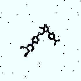 C#CCN(/C=C(\C=C)c1ccc(OCc2c(C)nnn2-c2ccc(C(F)F)cn2)nn1)C(C)C